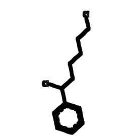 ClCCCCCC(Cl)c1ccccc1